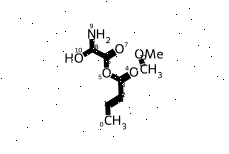 CC=CC(=O)OC(=O)C(N)O.COC